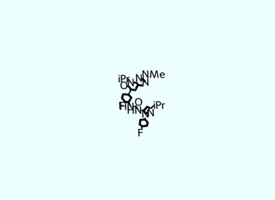 CNc1ncc2cc(-c3ccc(F)c(NC(=O)Nc4cc(C(C)C)nn4-c4ccc(F)cc4)c3)c(=O)n(C(C)C)c2n1